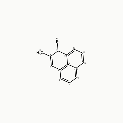 CCC1C(C)=Cc2cccc3cccc1c23